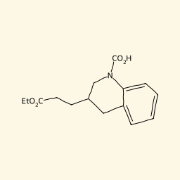 CCOC(=O)CCC1Cc2ccccc2N(C(=O)O)C1